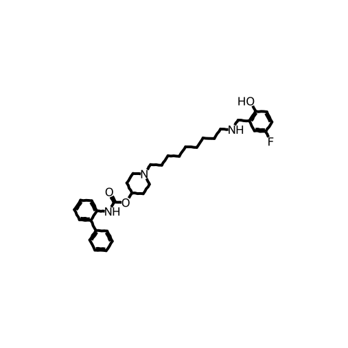 O=C(Nc1ccccc1-c1ccccc1)OC1CCN(CCCCCCCCCNCc2cc(F)ccc2O)CC1